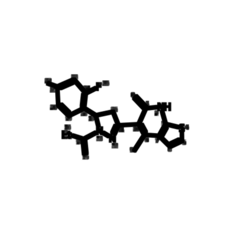 C=C1Nc2sccc2C(C)=C1C1=NN(C(=C)CC)C(c2ccc(C)cc2F)C1